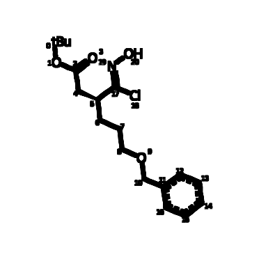 CC(C)(C)OC(=O)C[C@H](CCCOCc1ccccc1)/C(Cl)=N/O